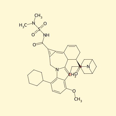 CCN1CC2CC(C1)N2C(=O)[C@@H]1CC=CC2=C3C(=C3C(=O)NS(=O)(=O)N(C)C)Cn3c(cc4c(OC)ccc(C5CCCCC5)c43)C21